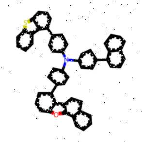 c1ccc2c(-c3ccc(N(c4ccc(-c5cccc6oc7c8ccccc8ccc7c56)cc4)c4ccc(-c5cccc6sc7ccccc7c56)cc4)cc3)cccc2c1